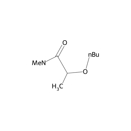 CCCCOC(C)C(=O)NC